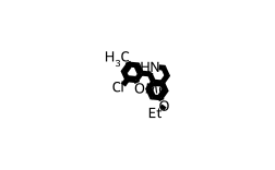 CCOc1ccc2c(c1)CCNC2c1cc(C)cc(Cl)c1OC